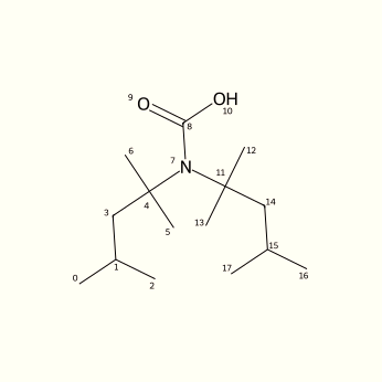 CC(C)CC(C)(C)N(C(=O)O)C(C)(C)CC(C)C